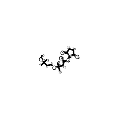 COC(C)(C)CCOC(C)(C)CC(=O)ON1C(=O)CCC1=O